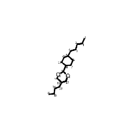 CCCCCC1CCC(C2OCC(CCCC)CO2)CC1